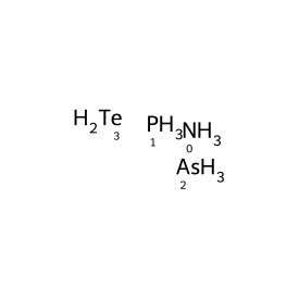 N.P.[AsH3].[TeH2]